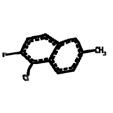 Cc1ccc2c(Cl)c(F)ccc2c1